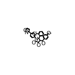 COc1ccc(C(=O)C2C(=O)C(=O)N(c3ccc(-c4ccon4)cc3)C2c2ccccc2Cl)cc1